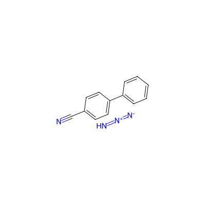 N#Cc1ccc(-c2ccccc2)cc1.[N-]=[N+]=N